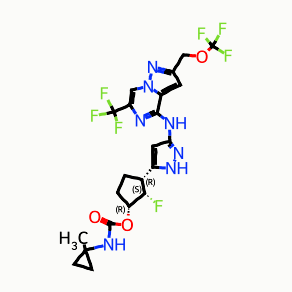 CC1(NC(=O)O[C@@H]2CC[C@H](c3cc(Nc4nc(C(F)(F)F)cn5nc(COC(F)(F)F)cc45)n[nH]3)[C@@H]2F)CC1